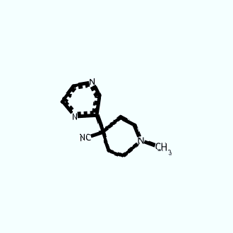 CN1CCC(C#N)(c2cnccn2)CC1